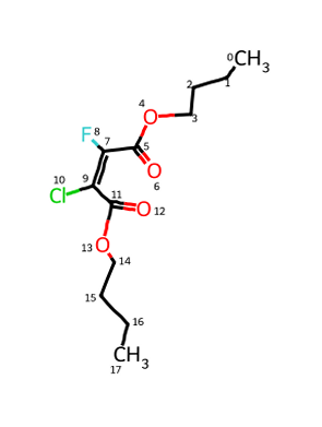 CCCCOC(=O)/C(F)=C(/Cl)C(=O)OCCCC